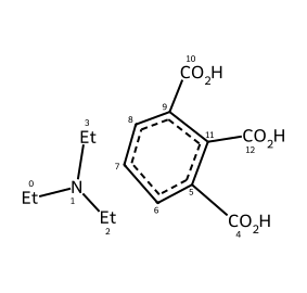 CCN(CC)CC.O=C(O)c1cccc(C(=O)O)c1C(=O)O